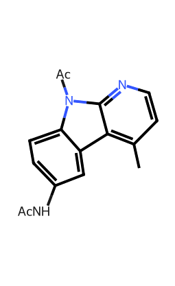 CC(=O)Nc1ccc2c(c1)c1c(C)ccnc1n2C(C)=O